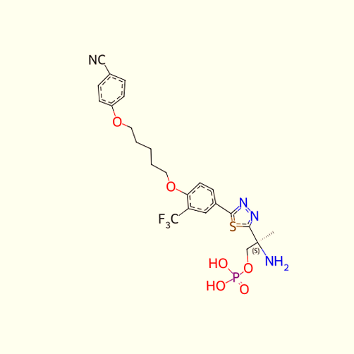 C[C@](N)(COP(=O)(O)O)c1nnc(-c2ccc(OCCCCCOc3ccc(C#N)cc3)c(C(F)(F)F)c2)s1